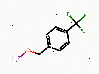 FC(F)(F)c1ccc(COP)cc1